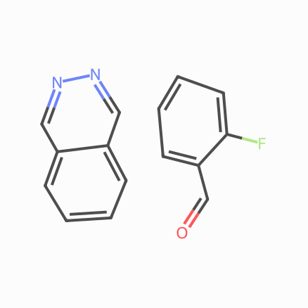 O=Cc1ccccc1F.c1ccc2cnncc2c1